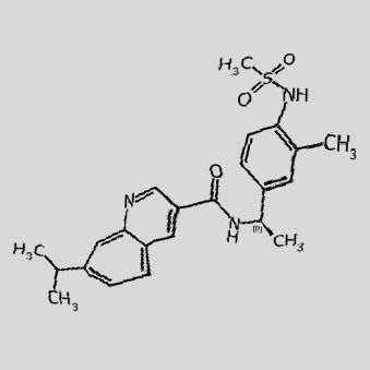 Cc1cc([C@@H](C)NC(=O)c2cnc3cc(C(C)C)ccc3c2)ccc1NS(C)(=O)=O